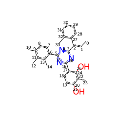 C/C=C(/c1nc(-c2ccc(C)c(C)c2C)nc(-c2ccc(O)c(C)c2O)n1)c1ccccc1C